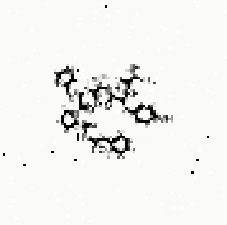 CC(C)[C@H](N)C(=O)N[C@@H](Cc1ccc(O)cc1)C(=O)N[C@H](C(=O)N[C@@H](Cc1c[nH]cn1)C(=O)N1CCC[C@H]1C(=O)N[C@@H](Cc1ccccc1)C(=O)O)C(C)C